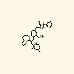 CCC(C)(C(=O)NCC1=CC(CO)=C(CN(CC2=C(C)C=C(C)CC=N2)C2CCCCc3cccn32)C=CC1)c1ccccc1